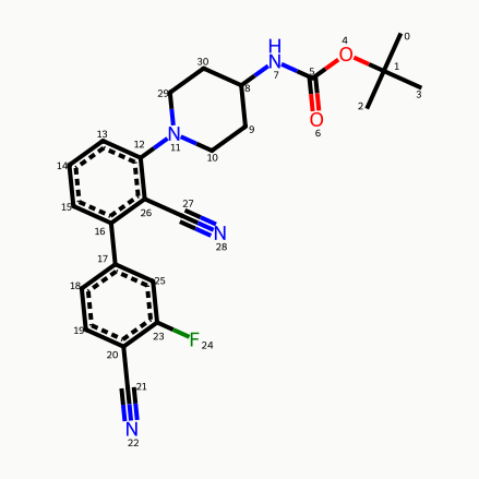 CC(C)(C)OC(=O)NC1CCN(c2cccc(-c3ccc(C#N)c(F)c3)c2C#N)CC1